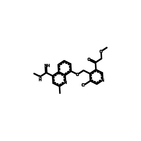 CNC(=N)c1cc(C)nc2c(OCc3c(Cl)cncc3C(=O)COC)cccc12